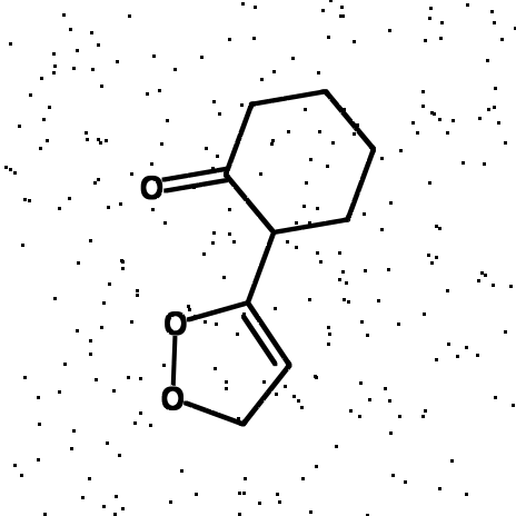 O=C1CCCCC1C1=CCOO1